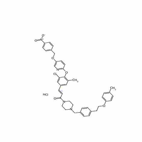 Cc1ccc(OCCc2ccc(CN3CCN(C(=O)/C=C/c4cc(C)c(Oc5ccc(OCc6ccc([N+](=O)[O-])cc6)cn5)c(Cl)c4)CC3)cc2)cc1.Cl